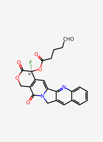 O=CCCCC(=O)O[C@]1(F)C(=O)OCc2c1cc1n(c2=O)Cc2cc3ccccc3nc2-1